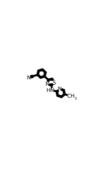 Cc1ccc(Nc2nc(-c3cccc(C#N)c3)cs2)nc1